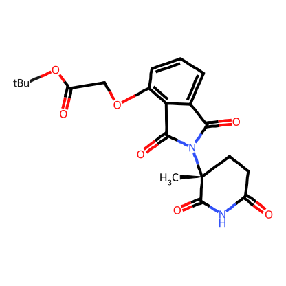 CC(C)(C)OC(=O)COc1cccc2c1C(=O)N([C@]1(C)CCC(=O)NC1=O)C2=O